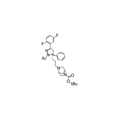 CC(=O)N1N=C(c2cc(F)ccc2F)C[C@@]1(CCCN1CC2CC1CN2C(=O)OC(C)(C)C)c1ccccc1